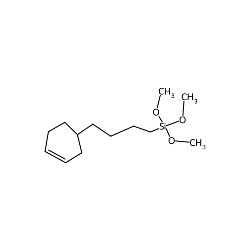 CO[Si](CCCCC1CC=CCC1)(OC)OC